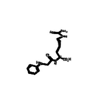 N=C(N)NCCC[C@H](NC(=O)CNc1ccccc1)C(=O)O